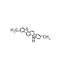 CCc1ccc2[nH]c3c(ccc4c3ccc3c5cc(CC)ccc5sc34)c2c1